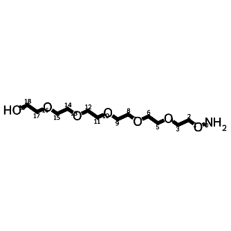 NOCCOCCOCCOCCOCCOCCO